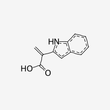 C=C(C(=O)O)c1cc2ccccc2[nH]1